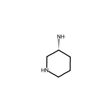 [NH][C@@H]1CCCNC1